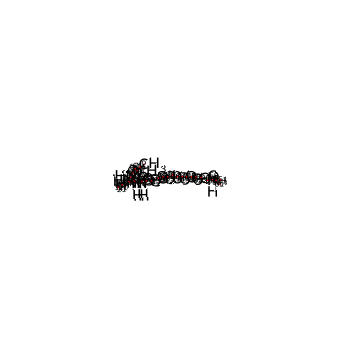 CCCC(C)C(=O)C1(OCNCN[C@H](CCc2ccccc2)NCNCNC(=O)COCCOCCOCCOCCOCCOCCOCCOCCOCCNC(=O)C2CCCCC2)CC1